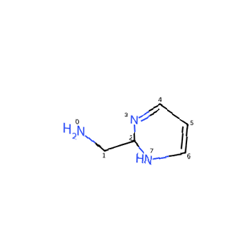 NCC1N=CC=CN1